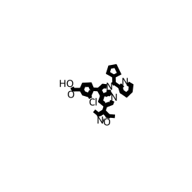 Cc1noc(C)c1-c1cnc2c(c1)c(-c1ccc(C(=O)O)cc1Cl)cn2C(c1ccccn1)C1CCCC1